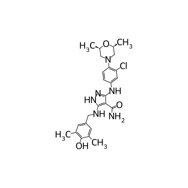 Cc1cc(CNc2[nH]nc(Nc3ccc(N4C[C@@H](C)O[C@@H](C)C4)c(Cl)c3)c2C(N)=O)cc(C)c1O